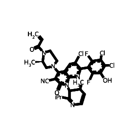 C=CC(=O)N1CCN(c2c(C#N)c(=O)n(C3C(C(C)C)=NC=CC3C)c3nc(-c4c(F)c(O)c(Cl)c(Cl)c4F)c(Cl)cc23)C[C@H]1C